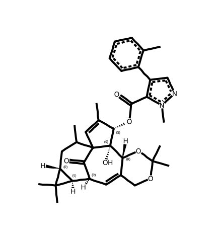 CC1=CC23C(=O)[C@@H](C=C4COC(C)(C)O[C@H]4[C@]2(O)[C@H]1OC(=O)c1c(-c2ccccc2C)cnn1C)[C@@H]1[C@@H](CC3C)C1(C)C